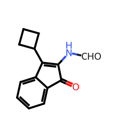 O=CNC1=C(C2CCC2)c2ccccc2C1=O